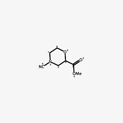 COC(=O)C1CN(C#N)CCO1